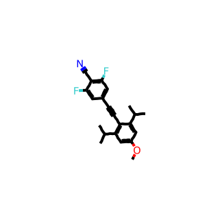 COc1cc(C(C)C)c(C#Cc2cc(F)c(C#N)c(F)c2)c(C(C)C)c1